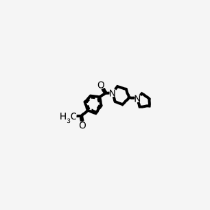 CC(=O)c1ccc(C(=O)N2CCC(N3CCCC3)CC2)cc1